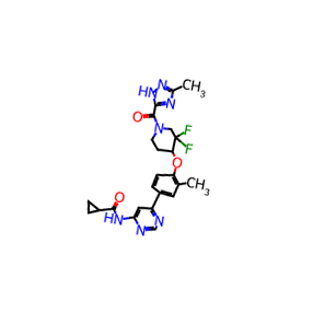 Cc1n[nH]c(C(=O)N2CCC(Oc3ccc(-c4cc(NC(=O)C5CC5)ncn4)cc3C)C(F)(F)C2)n1